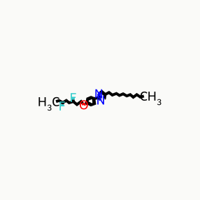 CCCCCCCCCCCc1cnc(-c2ccc(OCCC(F)CCC(F)CC)cc2)nc1